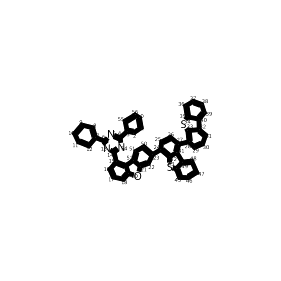 c1ccc(-c2nc(-c3ccccc3)nc(-c3cccc4oc5cc(-c6ccc(-c7cccc8c7sc7ccccc78)c7c6sc6ccccc67)ccc5c34)n2)cc1